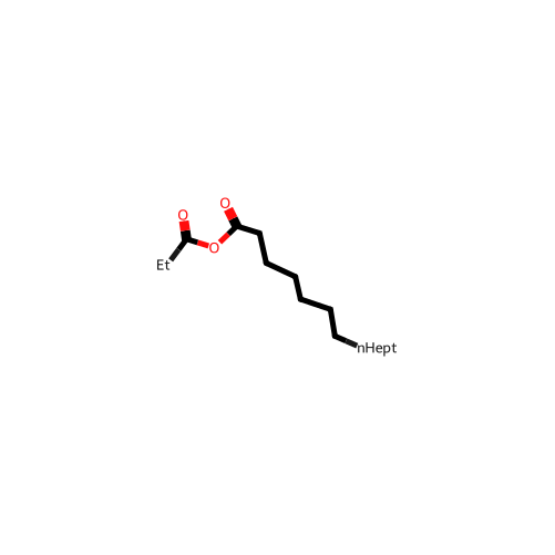 CCCCCCCCCCCCCC(=O)OC(=O)CC